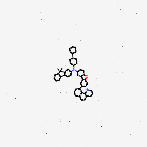 CC1(C)c2ccccc2-c2ccc(N(c3ccc(-c4ccccc4)cc3)c3ccc4oc5ccc(-c6cccc7ccc8cccnc8c67)cc5c4c3)cc21